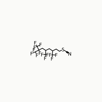 N#CSCCC(CC(CC(F)(C(F)(F)F)C(F)(F)F)C(F)(F)F)C(F)(F)F